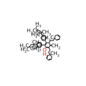 C=C1C(CCC2(C)C=CC=CC2)=C(O)C(c2ccc(C(C)(C)CC(C)(C)C)cc2)=C(c2ccc(C(C)(C)CC(C)(C)C)cc2)C1CCC1(C)C=CC=CC1